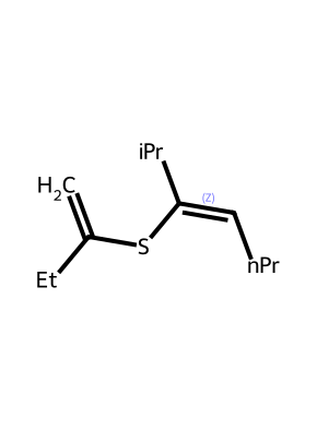 C=C(CC)S/C(=C\CCC)C(C)C